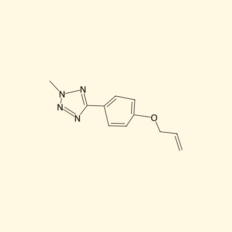 C=CCOc1ccc(-c2nnn(C)n2)cc1